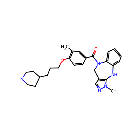 Cc1cc(C(=O)N2Cc3cnn(C)c3Nc3ccccc32)ccc1OCCCC1CCNCC1